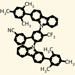 Cc1cc(C)c(-c2ccc3c4ccccc4n(-c4cc(C(F)(F)F)c(-n5c6ccccc6c6ccc(-c7c(C)cc(C)cc7C)cc65)cc4-c4cccc(C#N)c4)c3c2)c(C)c1